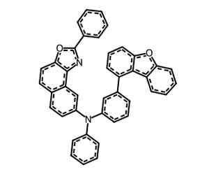 c1ccc(-c2nc3c(ccc4ccc(N(c5ccccc5)c5cccc(-c6cccc7oc8ccccc8c67)c5)cc43)o2)cc1